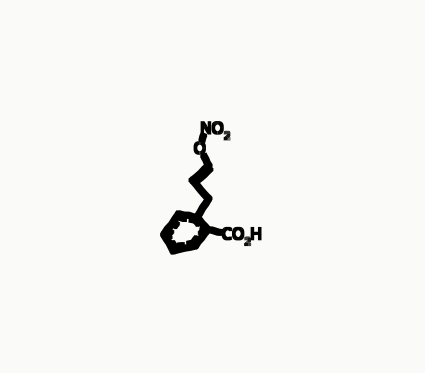 O=C(O)c1ccccc1CC=CO[N+](=O)[O-]